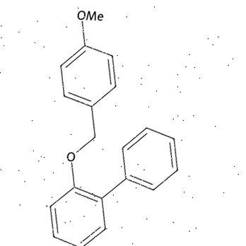 COc1ccc(COc2[c]cccc2-c2ccccc2)cc1